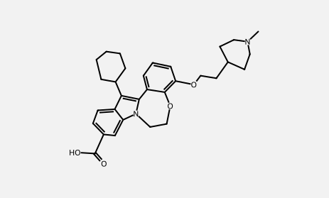 CN1CCC(CCOc2cccc3c2OCCn2c-3c(C3CCCCC3)c3ccc(C(=O)O)cc32)CC1